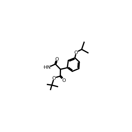 CC(C)Oc1cccc(C(C([NH])=O)C(=O)OC(C)(C)C)c1